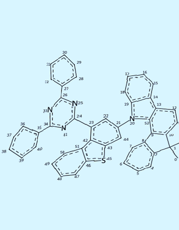 CC1(C)c2ccccc2-c2c1ccc1c3ccccc3n(-c3cc(-c4nc(-c5ccccc5)nc(-c5ccccc5)n4)c4c(c3)sc3ccccc34)c21